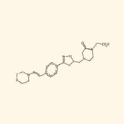 O=C(O)CN1CCN(CC2CC(c3ccc(/C=N/N4CCOCC4)cc3)=NO2)CC1=O